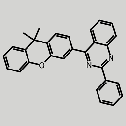 CC1(C)c2ccccc2Oc2cc(-c3nc(-c4ccccc4)nc4ccccc34)ccc21